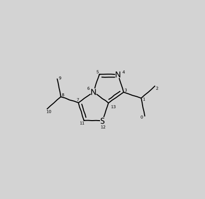 CC(C)c1ncn2c(C(C)C)csc12